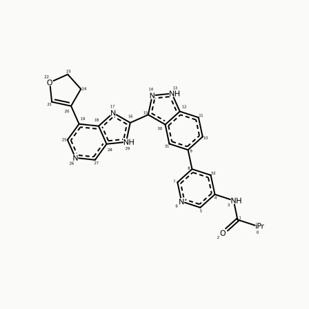 CC(C)C(=O)Nc1cncc(-c2ccc3[nH]nc(-c4nc5c(C6=COCC6)cncc5[nH]4)c3c2)c1